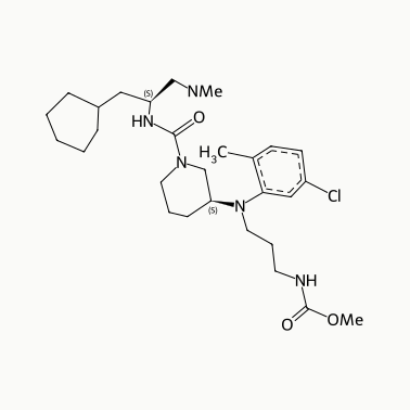 CNC[C@H](CC1CCCCC1)NC(=O)N1CCC[C@H](N(CCCNC(=O)OC)c2cc(Cl)ccc2C)C1